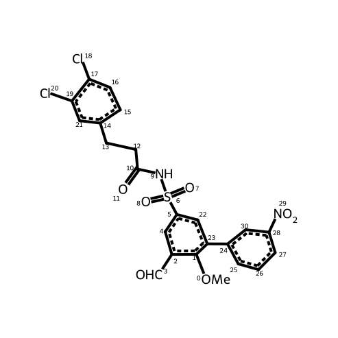 COc1c(C=O)cc(S(=O)(=O)NC(=O)CCc2ccc(Cl)c(Cl)c2)cc1-c1cccc([N+](=O)[O-])c1